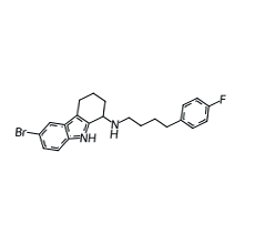 Fc1ccc(CCCCNC2CCCc3c2[nH]c2ccc(Br)cc32)cc1